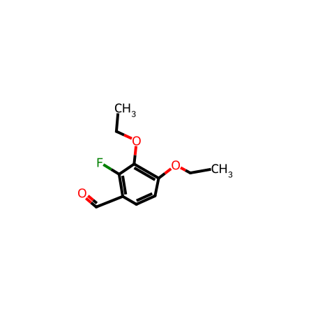 CCOc1ccc(C=O)c(F)c1OCC